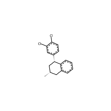 C[C@H]1Cc2ccccc2[C@@H](c2ccc(Cl)c(Cl)c2)C1